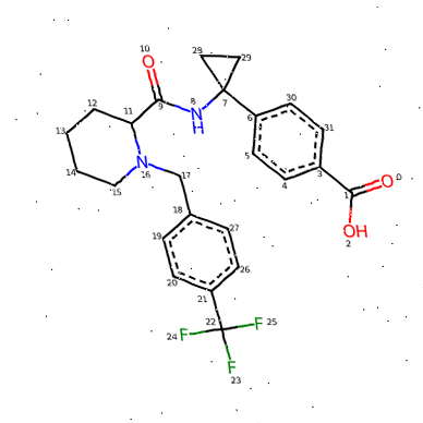 O=C(O)c1ccc(C2(NC(=O)C3CCCCN3Cc3ccc(C(F)(F)F)cc3)CC2)cc1